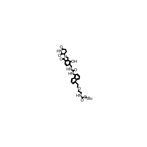 CC(C)(C)OC(=O)NCCOCCc1cccc2c(NC(=O)NCc3ccc4c(c3O)CN(C3CCC(=O)NC3=O)C4=O)cccc12